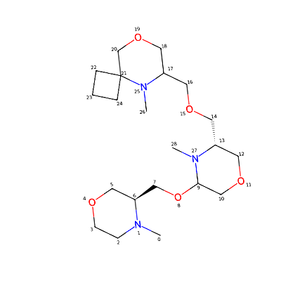 CN1CCOC[C@H]1COC1COC[C@@H](COCC2COCC3(CCC3)N2C)N1C